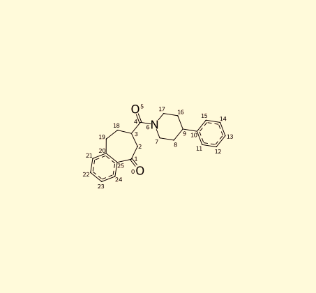 O=C1CC(C(=O)N2CCC(c3ccccc3)CC2)CCc2ccccc21